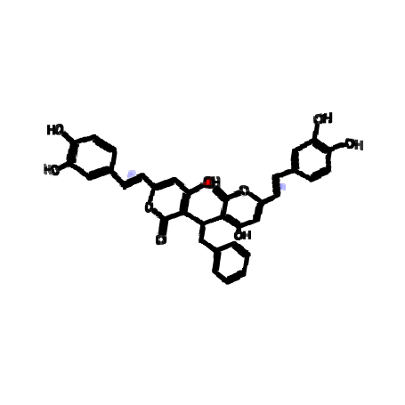 O=c1oc(/C=C/c2ccc(O)c(O)c2)cc(O)c1C(Cc1ccccc1)c1c(O)cc(/C=C/c2ccc(O)c(O)c2)oc1=O